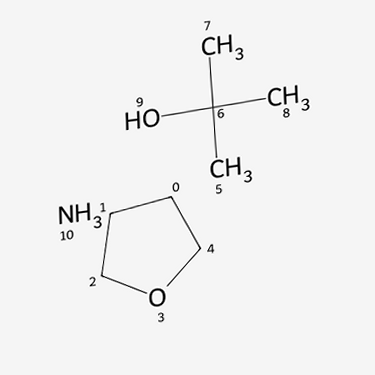 C1CCOC1.CC(C)(C)O.N